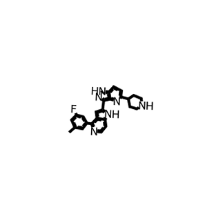 Cc1cc(F)cc(-c2nccc3[nH]c(-c4n[nH]c5ccc(C6CCNCC6)nc45)cc23)c1